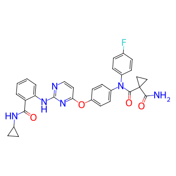 NC(=O)C1(C(=O)N(c2ccc(F)cc2)c2ccc(Oc3ccnc(Nc4ccccc4C(=O)NC4CC4)n3)cc2)CC1